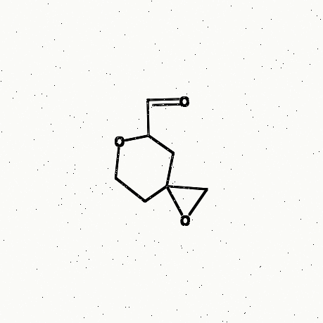 O=CC1CC2(CCO1)CO2